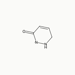 O=C1C=CCN[N]1